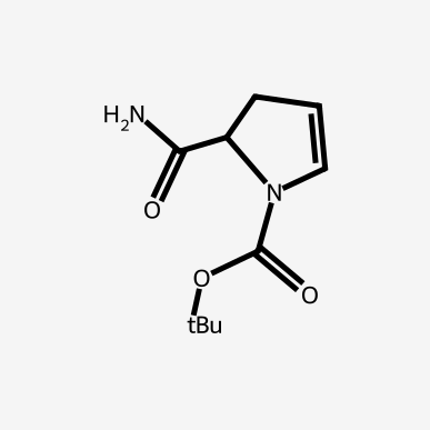 CC(C)(C)OC(=O)N1C=CCC1C(N)=O